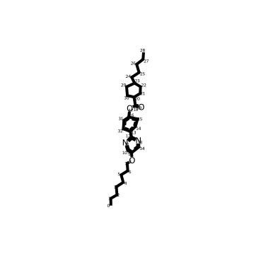 CCCCCCCCOc1cnc(-c2ccc(OC(=O)C3CCC(CCCCC)CC3)cc2)nc1